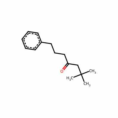 CC(C)(C)CC(=O)CCCc1ccccc1